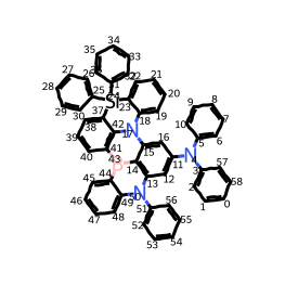 c1ccc(N(c2ccccc2)c2cc3c4c(c2)N2c5ccccc5[Si](c5ccccc5)(c5ccccc5)c5cccc(c52)B4c2ccccc2N3c2ccccc2)cc1